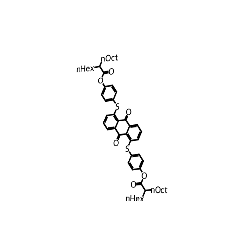 CCCCCCCCC(CCCCCC)C(=O)Oc1ccc(Sc2cccc3c2C(=O)c2cccc(Sc4ccc(OC(=O)C(CCCCCC)CCCCCCCC)cc4)c2C3=O)cc1